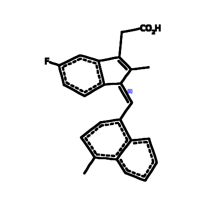 CC1=C(CC(=O)O)c2cc(F)ccc2/C1=C\c1ccc(C)c2ccccc12